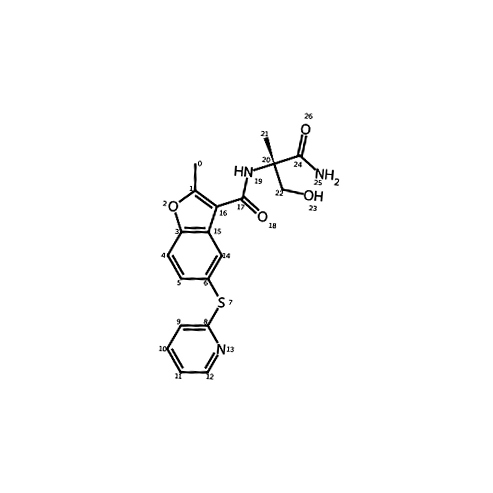 Cc1oc2ccc(Sc3ccccn3)cc2c1C(=O)N[C@@](C)(CO)C(N)=O